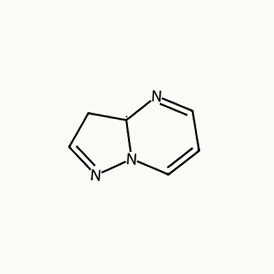 C1=CN2N=CC[C]2N=C1